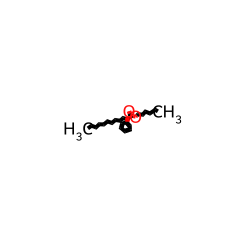 CCCCCCCCCCCC(=O)OCCCCCC.c1ccccc1